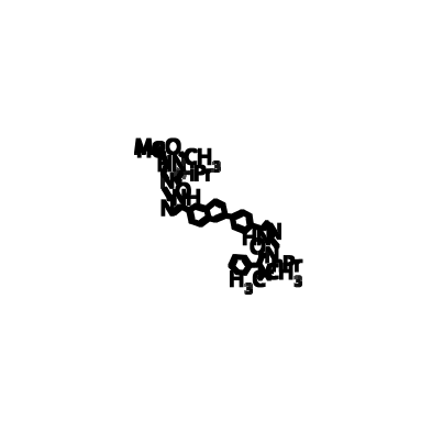 C#CCCN(Cc1ncc(-c2ccc3cc(-c4ccc(-c5cnc(CN(CCC)C(=O)C(C6=CC=CCC6)N(C)C)[nH]5)cc4)ccc3c2)[nH]1)C(=O)[C@@H](NC(C)OC)C(C)C